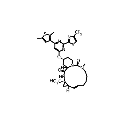 Cc1cc(-c2cc(O[C@H]3CCN4C(=O)N(C)CCCC/C=C/[C@@H]5C[C@@]5(C(=O)O)NC(=O)[C@@H]4C3)nc(-c3nc(C(F)(F)F)cs3)n2)c(C)s1